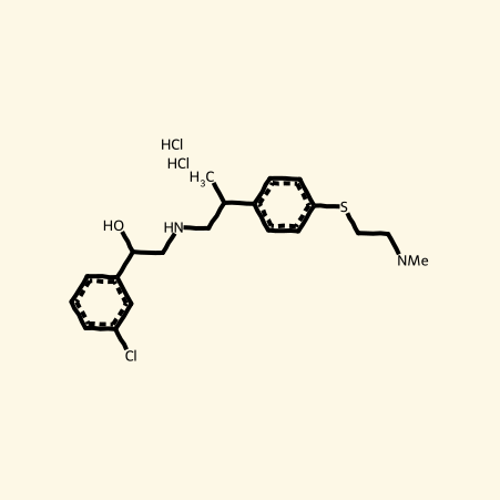 CNCCSc1ccc(C(C)CNCC(O)c2cccc(Cl)c2)cc1.Cl.Cl